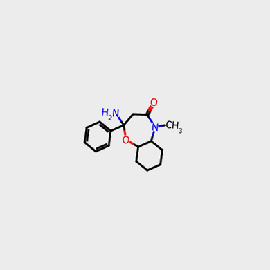 CN1C(=O)CC(N)(c2ccccc2)OC2CCCCC21